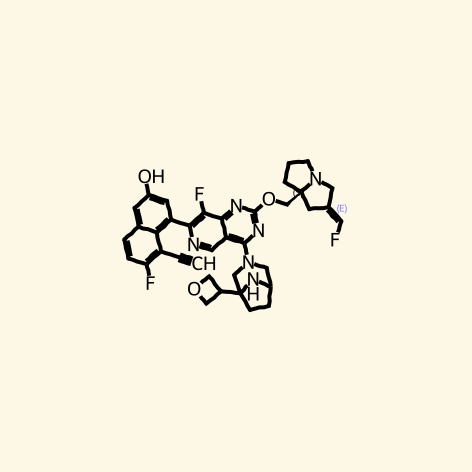 C#Cc1c(F)ccc2cc(O)cc(-c3ncc4c(N5CC6CCC(C7COC7)(C5)N6)nc(OC[C@@]56CCCN5C/C(=C/F)C6)nc4c3F)c12